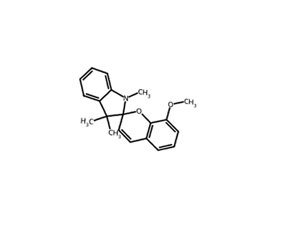 COc1cccc2c1OC1(C=C2)N(C)c2ccccc2C1(C)C